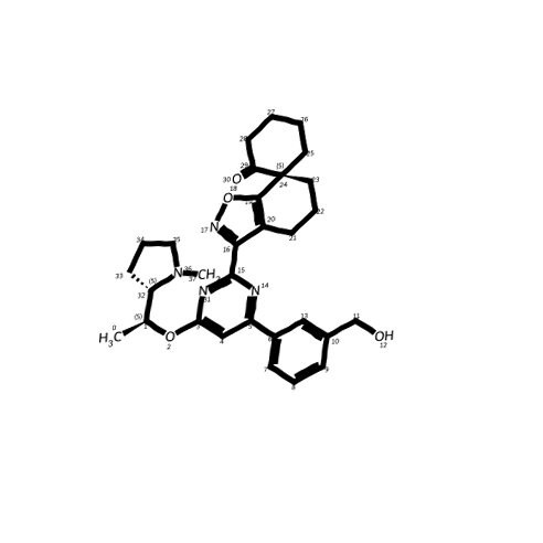 C[C@H](Oc1cc(-c2cccc(CO)c2)nc(-c2noc3c2CCC[C@@]32CCCCC2=O)n1)[C@@H]1CCCN1C